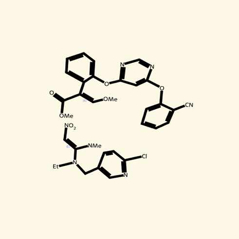 CCN(Cc1ccc(Cl)nc1)/C(=C/[N+](=O)[O-])NC.CO/C=C(/C(=O)OC)c1ccccc1Oc1cc(Oc2ccccc2C#N)ncn1